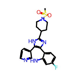 CS(=O)(=O)N1CCC(c2nc3c([nH]2)-c2cccnc2Nc2cc(F)ccc2-3)CC1